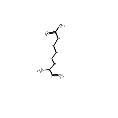 C=CC(C)CC[CH]CCC(=C)C